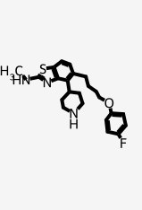 CNc1nc2c(C3CCNCC3)c(CCCCOc3ccc(F)cc3)ccc2s1